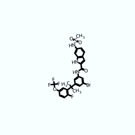 CC(C)(c1cc(Br)cc(NC(=O)c2cc3ccc(NS(C)(=O)=O)cc3[nH]2)c1)c1cc(OC(F)(F)F)ccc1F